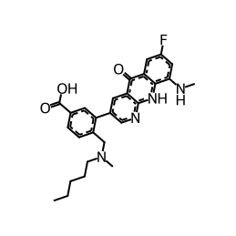 CCCCCN(C)Cc1ccc(C(=O)O)cc1-c1cnc2[nH]c3c(NC)cc(F)cc3c(=O)c2c1